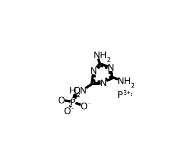 Nc1nc(N)nc(N)n1.O=P([O-])([O-])[O-].[P+3]